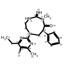 CCc1nc(N2CCNC(=N)N(C)C(=O)[C@@H](c3ccccc3)C2)nc(C)c1F